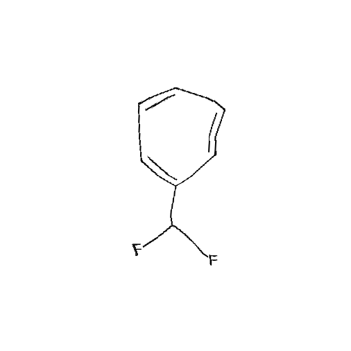 FC(F)c1ccccc1